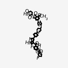 COc1cc(N2CCN(CC3CCN(c4ccc(-c5cnc6[nH]cc(C(=O)c7c(F)ccc(NS(=O)(=O)N8CC[C@@H](F)C8)c7F)c6c5)cc4)CC3)CC2)cc2c1C(=O)N(C1CCC(=O)NC1=O)C2